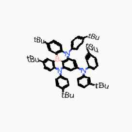 CC(C)(C)c1ccc(N2c3ccc(C(C)(C)C)cc3B3c4cc(C(C)(C)C)ccc4N(c4ccc(C(C)(C)C)cc4)c4cc(N(c5cccc(C(C)(C)C)c5)c5cccc(C(C)(C)C)c5)cc2c43)cc1